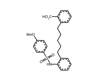 COc1ccc(S(=O)(=O)Nc2ccccc2CCCCCc2ccccc2C(=O)O)cc1